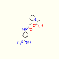 CC(C(=O)O)N1CCCCC1CCC(=O)Nc1ccc(C(=N)N)cc1